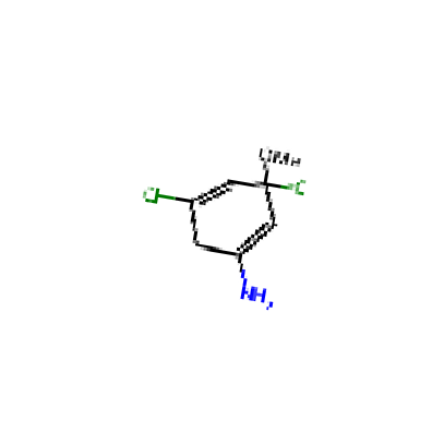 COC1(Cl)C=C(N)CC(Cl)=C1